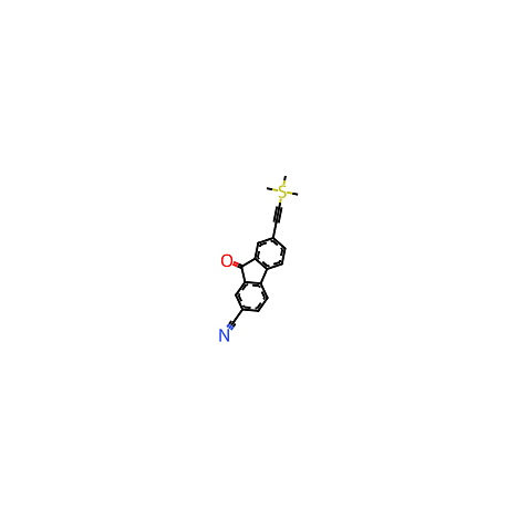 CS(C)(C)C#Cc1ccc2c(c1)C(=O)c1cc(C#N)ccc1-2